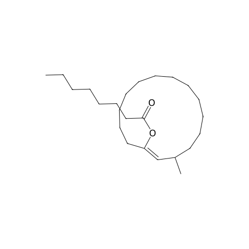 CCCCCCCC(=O)O/C1=C\C(C)CCCCCCCCCCCC1